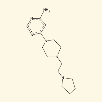 Nc1cc(N2CCN(CCN3CCCC3)CC2)ncn1